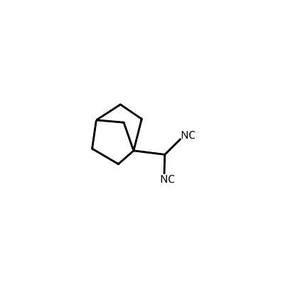 [C-]#[N+]C([N+]#[C-])C12CCC(CC1)C2